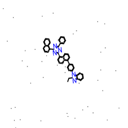 CCc1nc2ccccc2n1-c1ccc(-c2cccc3c(-c4nc(-c5ccccc5)nc(-c5cccc6ccccc56)n4)cccc23)cc1